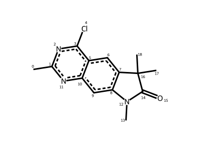 Cc1nc(Cl)c2cc3c(cc2n1)N(C)C(=O)C3(C)C